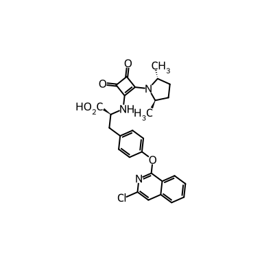 C[C@@H]1CC[C@@H](C)N1c1c(N[C@@H](Cc2ccc(Oc3nc(Cl)cc4ccccc34)cc2)C(=O)O)c(=O)c1=O